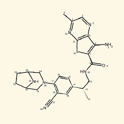 Cc1cnc2c(N)c(C(=O)NC[C@H](C)c3ccc(N4CC5CCC(C4)N5)c(C#N)c3)sc2n1